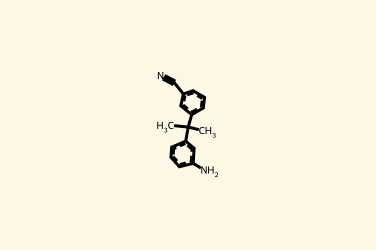 CC(C)(c1cccc(N)c1)c1cccc(C#N)c1